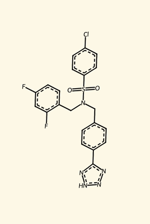 O=S(=O)(c1ccc(Cl)cc1)N(Cc1ccc(-c2nn[nH]n2)cc1)Cc1ccc(F)cc1F